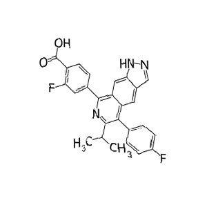 CC(C)c1nc(-c2ccc(C(=O)O)c(F)c2)c2cc3[nH]ncc3cc2c1-c1ccc(F)cc1